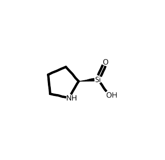 O=[Si](O)[C@@H]1CCCN1